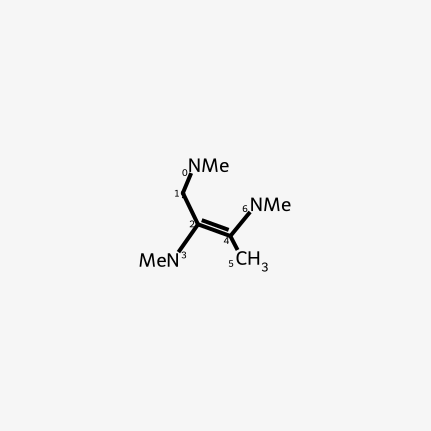 CN[CH]/C(NC)=C(/C)NC